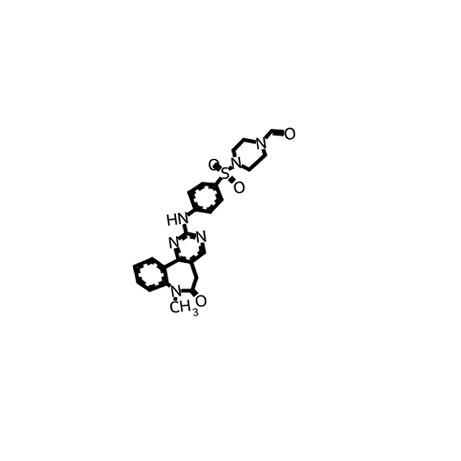 CN1C(=O)Cc2cnc(Nc3ccc(S(=O)(=O)N4CCN(C=O)CC4)cc3)nc2-c2ccccc21